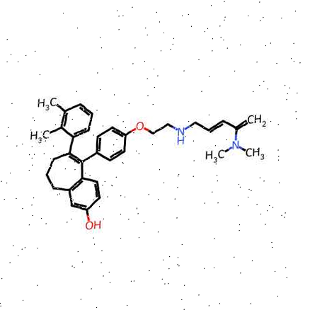 C=C(/C=C/CNCCOc1ccc(C2=C(c3cccc(C)c3C)CCCc3cc(O)ccc32)cc1)N(C)C